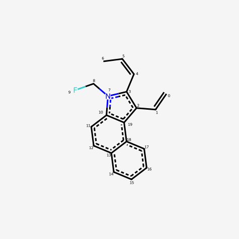 C=Cc1c(/C=C\C)n(CF)c2ccc3ccccc3c12